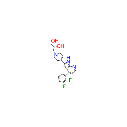 OCC(O)CN1CC=C(c2cc3c(-c4cccc(F)c4F)ccnc3[nH]2)CC1